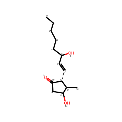 CCCCCC(O)/C=C/[C@H]1C(=O)CC(O)C1C